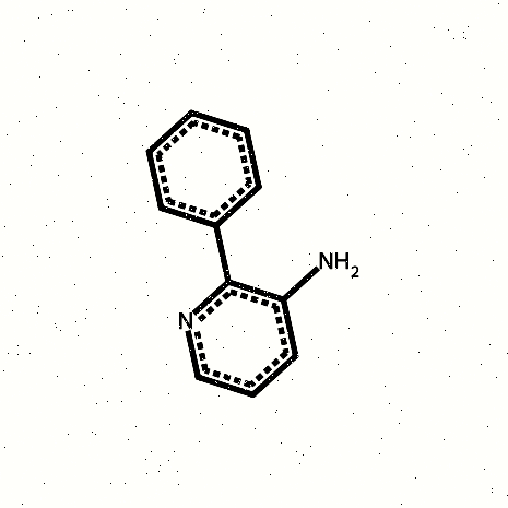 Nc1cccnc1-c1ccccc1